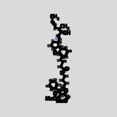 CC#CCC(C)C(O)/C=C/C1CCC2Oc3c(CCCC(=O)OCCCCOC(=N/OC)/C(=N/OC)S(=O)(=O)c4ccccc4)cccc3C12